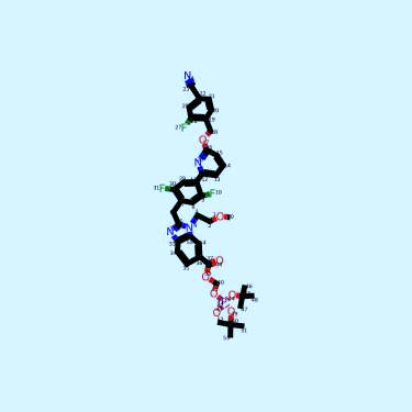 COCCn1c(Cc2cc(F)c(-c3cccc(OCc4ccc(C#N)cc4F)n3)cc2F)nc2ccc(C(=O)OCOP(=O)(OC(C)(C)C)OC(C)(C)C)cc21